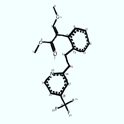 CO/C=C(/C(=O)OC)c1ccccc1CCc1cc(C(F)(F)F)ccn1